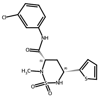 CN1[C@H](C(=O)Nc2cccc(Cl)c2)C[C@H](c2cccs2)NS1(=O)=O